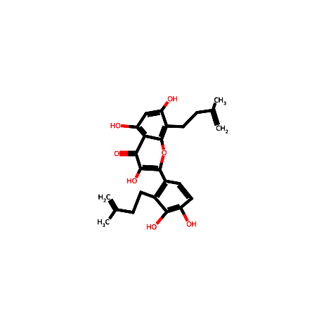 C=C(C)CCc1c(-c2oc3c(CCC(=C)C)c(O)cc(O)c3c(=O)c2O)ccc(O)c1O